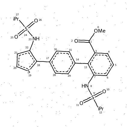 COC(=O)c1cccc(NS(=O)(=O)C(C)C)c1-c1ccc(-c2sccc2NS(=O)(=O)C(C)C)cc1